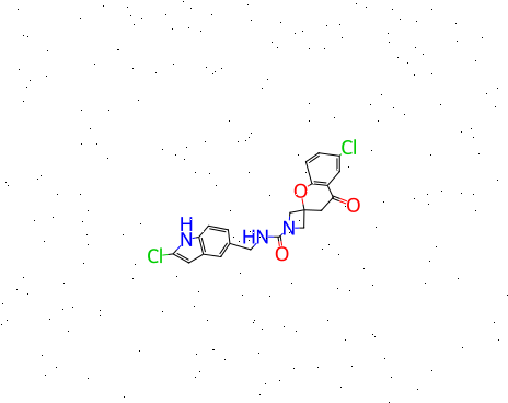 O=C1CC2(CN(C(=O)NCc3ccc4[nH]c(Cl)cc4c3)C2)Oc2ccc(Cl)cc21